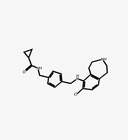 O=C(NCc1ccc(CNc2c(Cl)ccc3c2CCNCC3)cc1)C1CC1